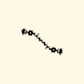 CC1(C)OB(c2ccc(COC(=O)OCCSSCCOC(=O)OCc3ccc(B4OC(C)(C)C(C)(C)O4)cc3)cc2)OC1(C)C